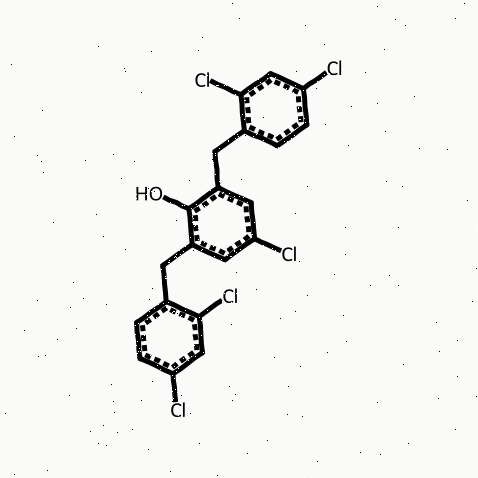 Oc1c(Cc2ccc(Cl)cc2Cl)cc(Cl)cc1Cc1ccc(Cl)cc1Cl